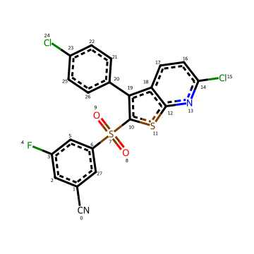 N#Cc1cc(F)cc(S(=O)(=O)c2sc3nc(Cl)ccc3c2-c2ccc(Cl)cc2)c1